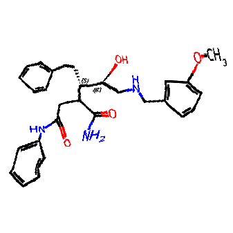 COc1cccc(CNC[C@H](O)[C@@H](Cc2ccccc2)C(CC(=O)Nc2ccccc2)C(N)=O)c1